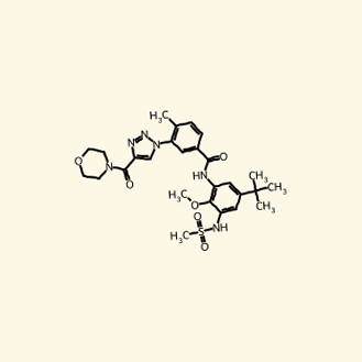 COc1c(NC(=O)c2ccc(C)c(-n3cc(C(=O)N4CCOCC4)nn3)c2)cc(C(C)(C)C)cc1NS(C)(=O)=O